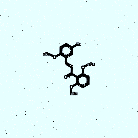 CCCCOc1ccc(CC)cc1C=CC(=O)c1c(OCCCC)cccc1OCCCC